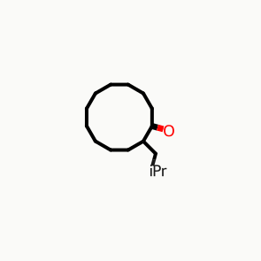 CC(C)CC1CCCCCCCCCCC1=O